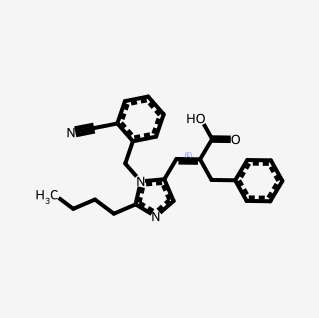 CCCCc1ncc(/C=C(\Cc2ccccc2)C(=O)O)n1Cc1ccccc1C#N